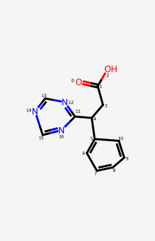 O=C(O)CC(c1ccccc1)c1ncncn1